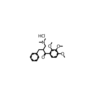 COc1ccc(C(=O)C(Cc2ccccc2)CN(C)C)c(OC)c1OC.Cl